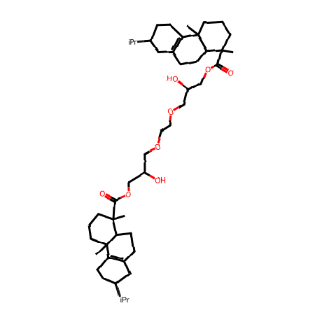 CC(C)C1CCC2=C(CCC3C(C)(C(=O)OCC(O)COCCOCC(O)COC(=O)C4(C)CCCC5(C)C6=C(CCC45)CC(C(C)C)CC6)CCCC23C)C1